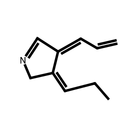 C=C/C=C1/C=NC/C1=C/CC